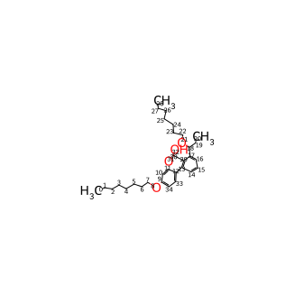 CCCCCCCCOc1ccc(-c2cccc(C(CC)OCCCCCCC)c2C(=O)O)cc1